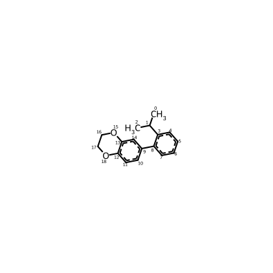 CC(C)c1ccccc1-c1ccc2c(c1)OCCO2